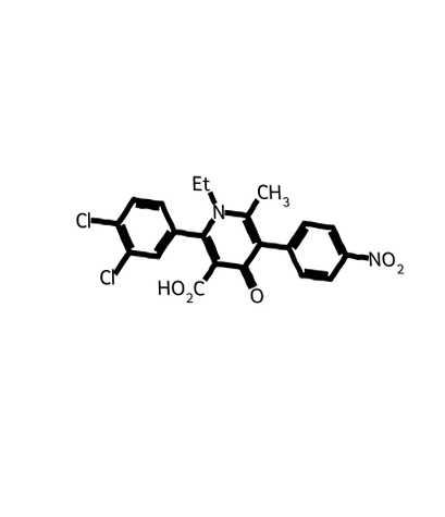 CCn1c(C)c(-c2ccc([N+](=O)[O-])cc2)c(=O)c(C(=O)O)c1-c1ccc(Cl)c(Cl)c1